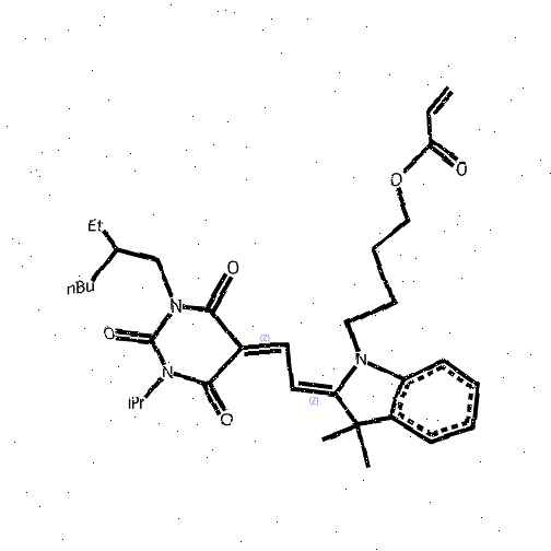 C=CC(=O)OCCCCN1/C(=C\C=C2\C(=O)N(CC(CC)CCCC)C(=O)N(C(C)C)C2=O)C(C)(C)c2ccccc21